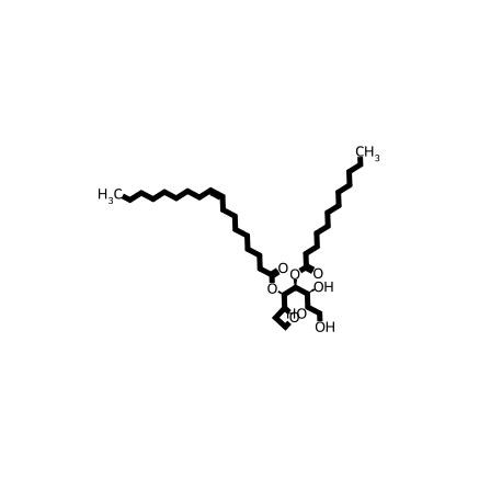 CCCCCCCC/C=C\CCCCCCCC(=O)O[C@@H](C1CCO1)[C@@H](OC(=O)CCCCCCCCCCC)[C@H](O)[C@H](O)CO